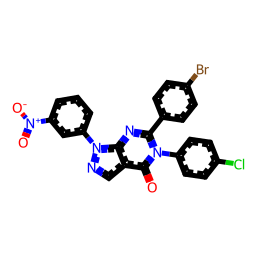 O=c1c2cnn(-c3cccc([N+](=O)[O-])c3)c2nc(-c2ccc(Br)cc2)n1-c1ccc(Cl)cc1